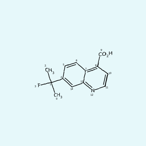 CC(C)(F)c1ccc2c(C(=O)O)ccnc2c1